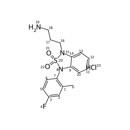 Cc1cc(F)ccc1N1c2ccccc2N(CCCN)S1(=O)=O.Cl